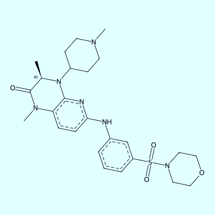 C[C@@H]1C(=O)N(C)c2ccc(Nc3cccc(S(=O)(=O)N4CCOCC4)c3)nc2N1C1CCN(C)CC1